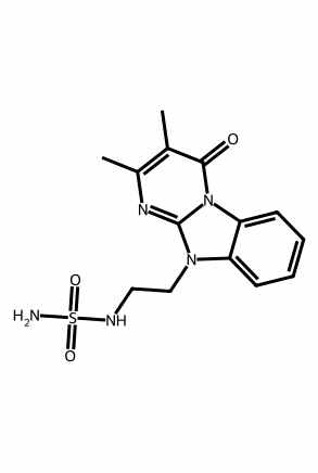 Cc1nc2n(CCNS(N)(=O)=O)c3ccccc3n2c(=O)c1C